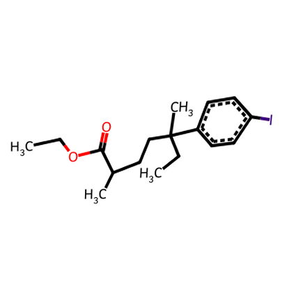 CCOC(=O)C(C)CCC(C)(CC)c1ccc(I)cc1